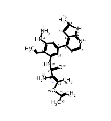 C=Cc1c(NN)cc(-c2ccnc3[nH]c(C)cc23)cc1NC(=O)/C(N)=C(\C)OC(=C)C